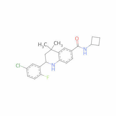 CC1(C)CC(c2cc(Cl)ccc2F)Nc2ccc(C(=O)NC3CCC3)cc21